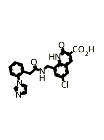 O=C(Cc1ccccc1-n1ccnc1)NCc1cc(Cl)cc2cc(C(=O)O)c(=O)[nH]c12